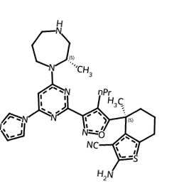 CCCc1c(-c2nc(N3CCCNC[C@@H]3C)cc(-n3ccnc3)n2)noc1[C@@]1(C)CCCc2sc(N)c(C#N)c21